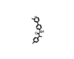 Cc1ccc(C(C)C(=O)Nc2ccc(-c3ccnc(C)c3)cc2)cc1